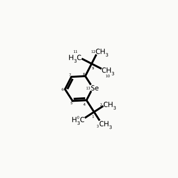 CC(C)(C)C1=CC=CC(C(C)(C)C)[Se]1